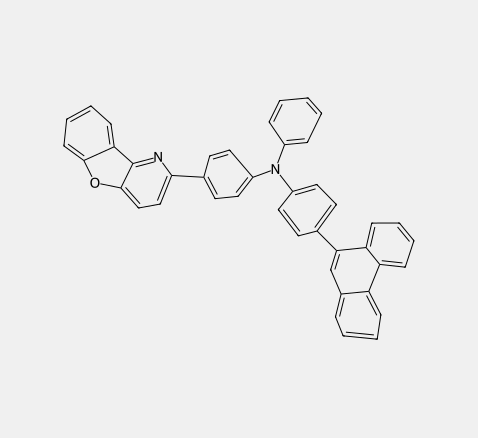 c1ccc(N(c2ccc(-c3ccc4oc5ccccc5c4n3)cc2)c2ccc(-c3cc4ccccc4c4ccccc34)cc2)cc1